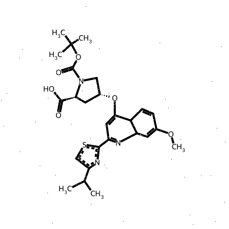 COC1=CC2N=C(c3nc(C(C)C)cs3)C=C(O[C@@H]3C[C@@H](C(=O)O)N(C(=O)OC(C)(C)C)C3)C2C=C1